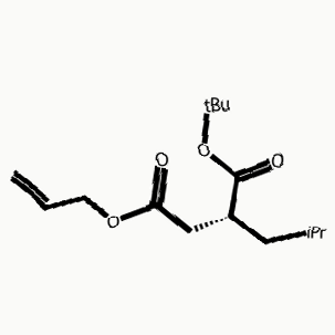 C=CCOC(=O)C[C@@H](CC(C)C)C(=O)OC(C)(C)C